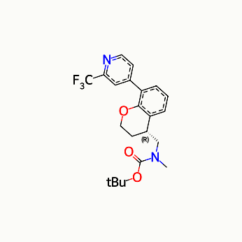 CN(C[C@@H]1CCOc2c(-c3ccnc(C(F)(F)F)c3)cccc21)C(=O)OC(C)(C)C